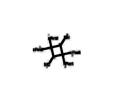 CCCCCC1(CCCCC)C(O)C(CCCCC)(CCCCC)C1O